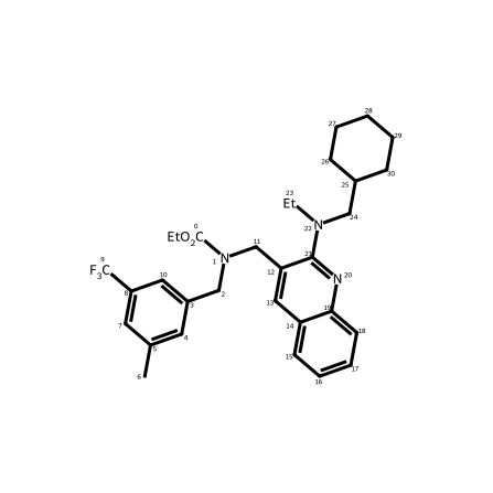 CCOC(=O)N(Cc1cc(C)cc(C(F)(F)F)c1)Cc1cc2ccccc2nc1N(CC)CC1CCCCC1